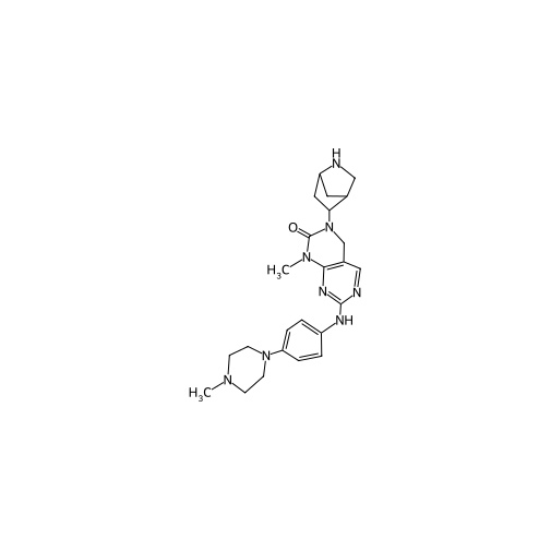 CN1CCN(c2ccc(Nc3ncc4c(n3)N(C)C(=O)N(C3CC5CC3CN5)C4)cc2)CC1